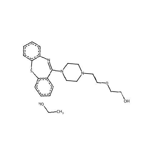 CCO.OCCOCCN1CCN(C2=Nc3ccccc3Sc3ccccc32)CC1